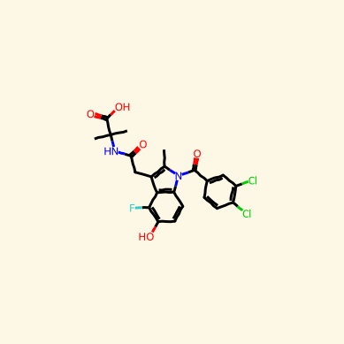 Cc1c(CC(=O)NC(C)(C)C(=O)O)c2c(F)c(O)ccc2n1C(=O)c1ccc(Cl)c(Cl)c1